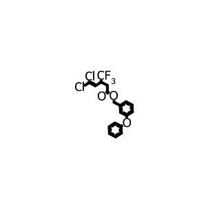 O=C(CC(C=C(Cl)Cl)C(F)(F)F)OCc1cccc(Oc2ccccc2)c1